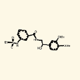 CCS(=O)(=O)Nc1cccc(C(=O)NCC(O)c2ccc(OC)c(OC)c2)c1